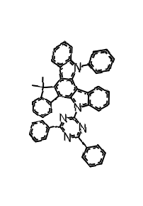 CC1(C)c2ccccc2-c2c1c1c3ccccc3n(-c3ccccc3)c1c1c3ccccc3n(-c3nc(-c4ccccc4)nc(-c4ccccc4)n3)c21